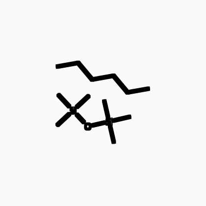 CCCCCC.C[Si](C)(C)O[Si](C)(C)C